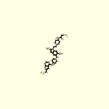 C=CC(=O)NC1CCN(CCn2c(C#N)cc3cc(CN4CCC(Nc5ncnc6sc(CC(F)(F)F)cc56)CC4)c(O)cc32)CC1